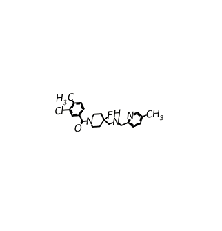 Cc1ccc(CNCC2(F)CCN(C(=O)c3ccc(C)c(Cl)c3)CC2)nc1